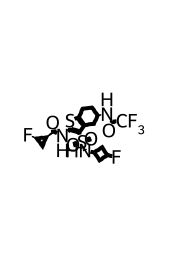 O=C(Nc1sc2c(c1S(=O)(=O)NC1CC(F)C1)C[C@@H](NC(=O)C(F)(F)F)CC2)[C@H]1C[C@@H]1F